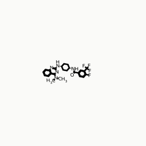 CN(C)c1nc(N[C@H]2CC[C@@H](NC(=O)c3ccc(F)c(C(F)(F)F)c3)CC2)nc2ccccc12